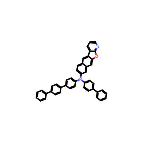 c1ccc(-c2ccc(-c3ccc(N(c4ccc(-c5ccccc5)cc4)c4ccc5cc6c(cc5c4)oc4ncccc46)cc3)cc2)cc1